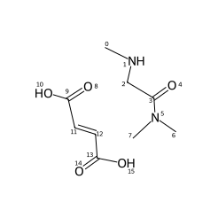 CNCC(=O)N(C)C.O=C(O)C=CC(=O)O